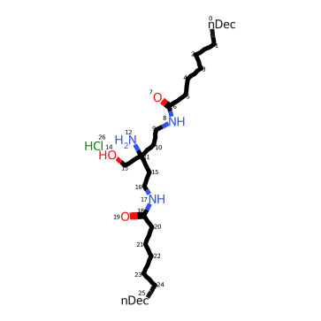 CCCCCCCCCCCCCCCC(=O)NCCC(N)(CO)CCNC(=O)CCCCCCCCCCCCCCC.Cl